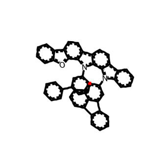 c1ccc(-c2cccc(-n3c4c(ccc5c6ccccc6oc54)c4ccc5c6ccccc6n(-c6cc7c8c(cccc8c6)-c6ccccc6-7)c5c43)c2)cc1